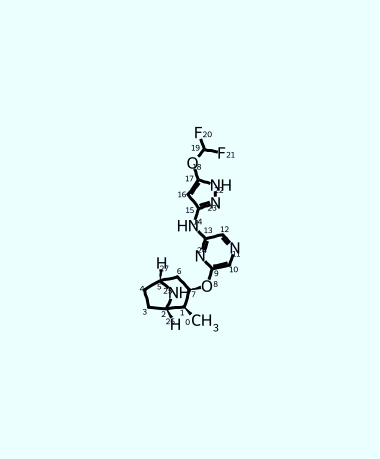 C[C@H]1[C@@H]2CC[C@H](C[C@H]1Oc1cncc(Nc3cc(OC(F)F)[nH]n3)n1)N2